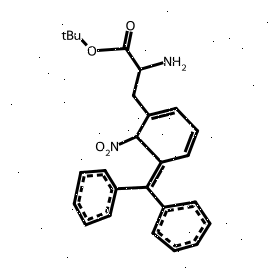 CC(C)(C)OC(=O)C(N)CC1=CC=CC(=C(c2ccccc2)c2ccccc2)C1[N+](=O)[O-]